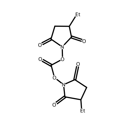 CCC1CC(=O)N(OC(=O)ON2C(=O)CC(CC)C2=O)C1=O